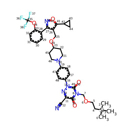 C[Si](C)(C)CCOCn1c(=O)c(C#N)nn(-c2ccc(N3CCC(OCc4c(-c5ccccc5OC(F)(F)F)noc4C4CC4)CC3)cc2)c1=O